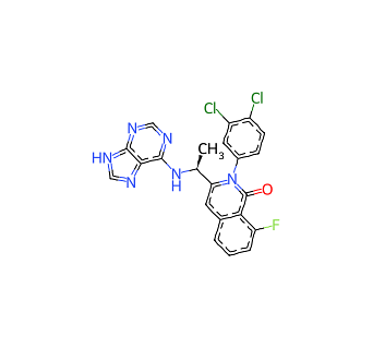 C[C@H](Nc1ncnc2[nH]cnc12)c1cc2cccc(F)c2c(=O)n1-c1ccc(Cl)c(Cl)c1